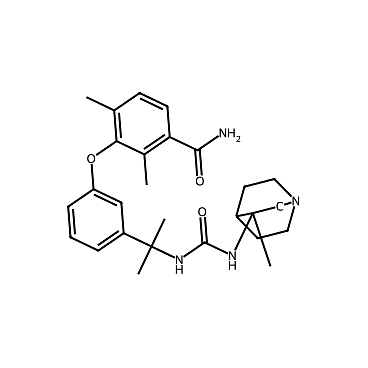 Cc1ccc(C(N)=O)c(C)c1Oc1cccc(C(C)(C)NC(=O)NC2(C)CN3CCC2CC3)c1